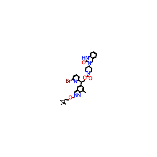 Cc1cc(C(COC(=O)N2CCC(N3Cc4ccccc4NC3=O)CC2)c2cccc(Br)n2)cc2cn(COCC[Si](C)(C)C)nc12